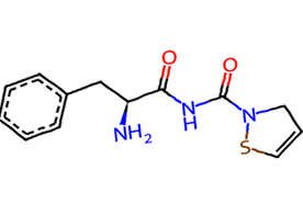 N[C@@H](Cc1ccccc1)C(=O)NC(=O)N1CC=CS1